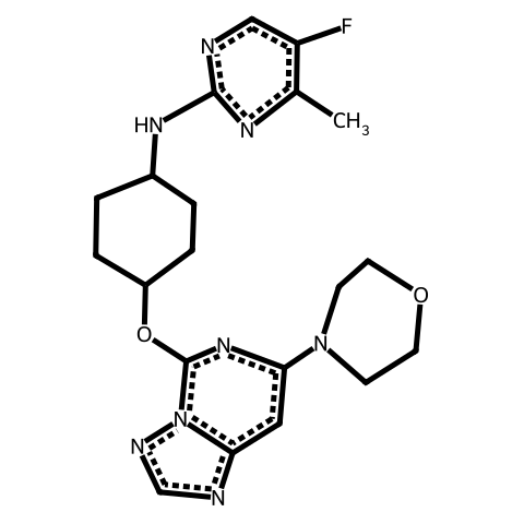 Cc1nc(NC2CCC(Oc3nc(N4CCOCC4)cc4ncnn34)CC2)ncc1F